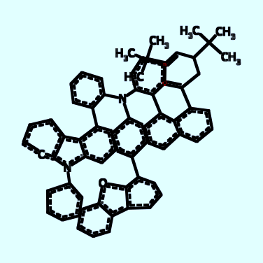 CC(C)(C)C1=CC(C(C)(C)C)CC(c2cccc3cccc(-c4ccccc4N(c4ccc(-c5cccc6c5oc5ccccc56)cc4)c4ccccc4-c4cccc5c4c4ccccc4n5-c4ccccc4)c23)=C1